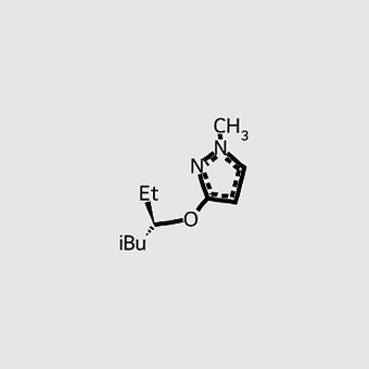 CC[C@@H](C)[C@@H](CC)Oc1ccn(C)n1